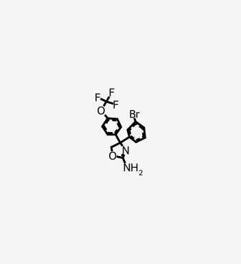 NC1=NC(c2ccc(OC(F)(F)F)cc2)(c2cccc(Br)c2)CO1